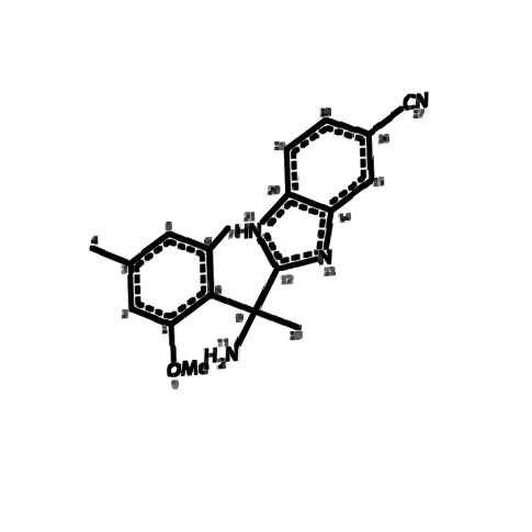 COc1cc(C)cc(C)c1C(C)(N)c1nc2cc(C#N)ccc2[nH]1